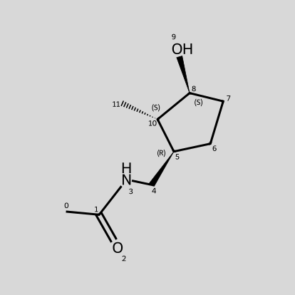 CC(=O)NC[C@@H]1CC[C@H](O)[C@H]1C